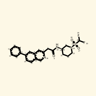 O=C(Cc1cc2cc(-c3ccccc3)ccc2cn1)N[C@@H]1CCCN(S(=O)(=O)C(F)F)C1